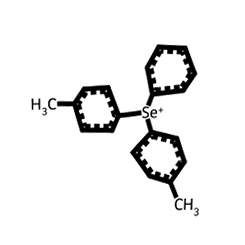 Cc1ccc([Se+](c2ccccc2)c2ccc(C)cc2)cc1